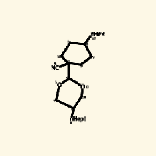 CCCCCCCC1COC(C2(C#N)CCC(CCCCCC)CC2)OC1